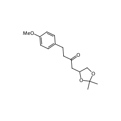 COc1ccc(CCC(=O)CC2COC(C)(C)O2)cc1